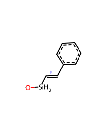 [O][SiH2]/C=C/c1ccccc1